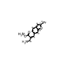 BOC(=O)/C(=C\c1ccc2cc(C(C)C)oc2c1)CN